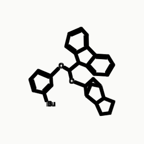 CCC(C)c1cccc(OC(OC2CC3CC2C2CCCC32)C2c3ccccc3-c3ccccc32)c1